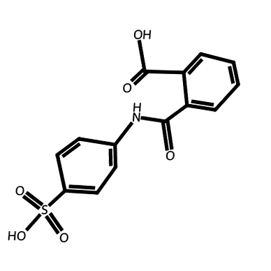 O=C(O)c1ccccc1C(=O)Nc1ccc(S(=O)(=O)O)cc1